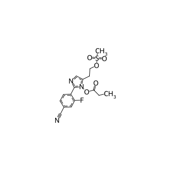 CCC(=O)On1c(CCOS(C)(=O)=O)cnc1-c1ccc(C#N)cc1F